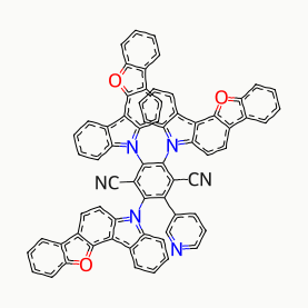 N#Cc1c(-c2cccnc2)c(-n2c3ccccc3c3c4oc5ccccc5c4ccc32)c(C#N)c(-n2c3ccccc3c3c4oc5ccccc5c4ccc32)c1-n1c2ccccc2c2c3oc4ccccc4c3ccc21